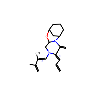 C=C/C=C1/C(=C)N2C3CCCC(C3)OC2CN1/C=C(\C#N)C(=C)C